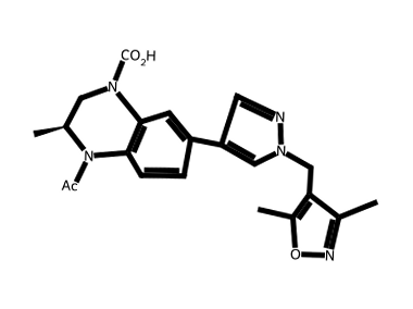 CC(=O)N1c2ccc(-c3cnn(Cc4c(C)noc4C)c3)cc2N(C(=O)O)C[C@@H]1C